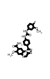 COc1cc(NC(=O)Nc2ccc(-c3nnc4cnc5cc(OC)c(C(N)=O)cc5n34)cc2)ccc1F